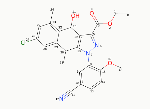 CCOC(=O)c1nn(-c2cc(C#N)ccc2OC)c2c1C(O)c1c(C)cc(Cl)cc1C2C